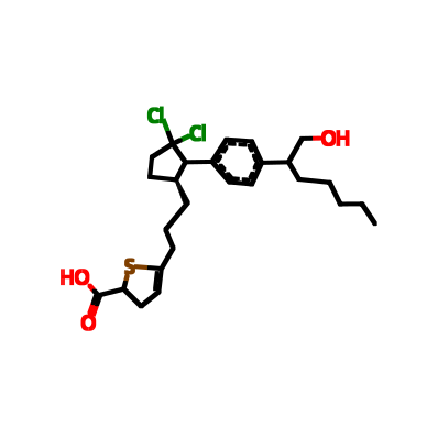 CCCCCC(CO)c1ccc(C2[C@@H](CCCC3=CCC(C(=O)O)S3)CCC2(Cl)Cl)cc1